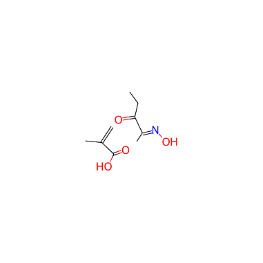 C=C(C)C(=O)O.CCC(=O)C(C)=NO